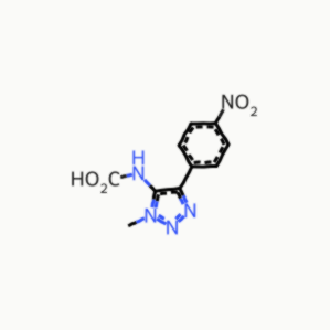 Cn1nnc(-c2ccc([N+](=O)[O-])cc2)c1NC(=O)O